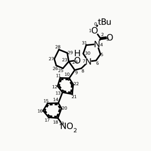 CC(C)(C)OC(=O)N1CCN(CC(c2ccc(-c3cccc([N+](=O)[O-])c3)cc2)C2(O)CCCCC2)CC1